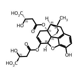 CN1CC[C@]23c4c5ccc(O)c4O[C@H]2C(OC(=O)C[C@H](O)C(=O)O)=CC[C@@]3(OC(=O)C[C@H](O)C(=O)O)[C@H]1C5